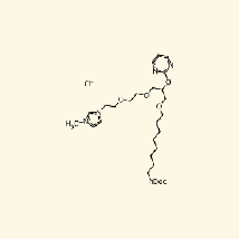 CCCCCCCCCCCCCCCCCCOCC(COCCOCCn1cc[n+](C)c1)Oc1ncccn1.[Cl-]